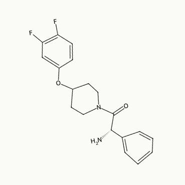 N[C@H](C(=O)N1CCC(Oc2ccc(F)c(F)c2)CC1)c1ccccc1